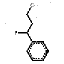 [O]CCC(F)c1ccccc1